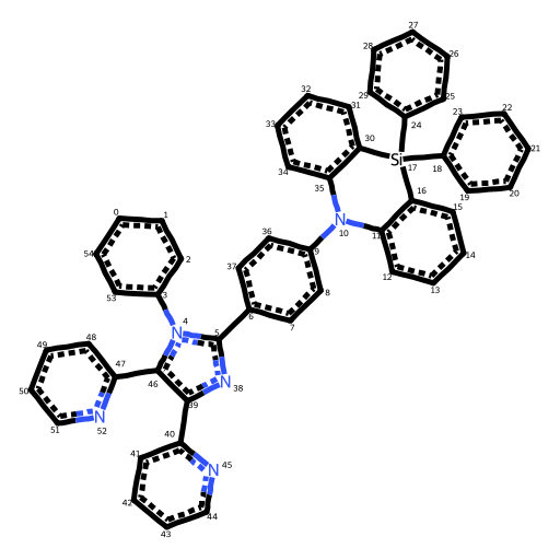 c1ccc(-n2c(-c3ccc(N4c5ccccc5[Si](c5ccccc5)(c5ccccc5)c5ccccc54)cc3)nc(-c3ccccn3)c2-c2ccccn2)cc1